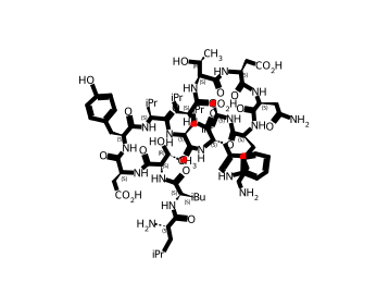 CC[C@H](C)[C@H](NC(=O)[C@@H](N)CC(C)C)C(=O)N[C@H](C(=O)N[C@@H](CC(=O)O)C(=O)N[C@@H](Cc1ccc(O)cc1)C(=O)N[C@H](C(=O)N[C@@H](CC(C)C)C(=O)N[C@@H](Cc1c[nH]c2ccccc12)C(=O)N[C@@H](CC(C)C)C(=O)N[C@H](C(=O)N[C@@H](CC(=O)O)C(=O)N[C@@H](CC(N)=O)C(=O)N[C@@H](CCCCN)C(=O)N[C@H](C(=O)O)C(C)C)[C@@H](C)O)C(C)C)[C@@H](C)O